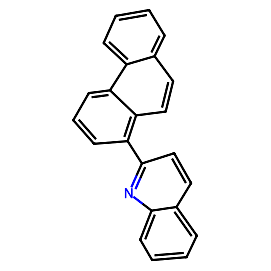 c1ccc2nc(-c3cccc4c3ccc3ccccc34)ccc2c1